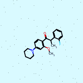 COc1cc(N2CCCCC2)ccc1C(=O)C(C)c1ccccc1F